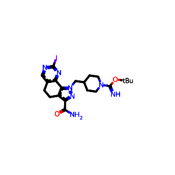 CC(C)(C)OC(=N)N1CCC(Cn2nc(C(N)=O)c3c2-c2nc(I)ncc2CC3)CC1